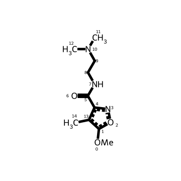 COc1onc(C(=O)NCCN(C)C)c1C